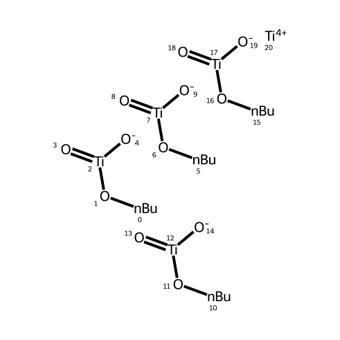 CCCC[O][Ti](=[O])[O-].CCCC[O][Ti](=[O])[O-].CCCC[O][Ti](=[O])[O-].CCCC[O][Ti](=[O])[O-].[Ti+4]